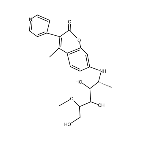 COC(CO)C(O)C(O)[C@@H](C)Nc1ccc2c(C)c(-c3ccncc3)c(=O)oc2c1